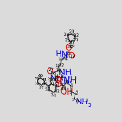 NCCCC[C@H](NC(=O)N[C@H](CCCCNC(=O)OCc1ccccc1)C(=O)NCc1ccccc1-c1ccccc1)C(=O)O